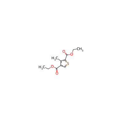 CCOC(=O)c1csc(C(=O)OCC)c1C